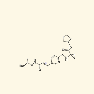 CC(C)COC(C)ONC(=O)/C=C/c1ccc(CNC2(C(=O)OC3CCCC3)CC2)nc1